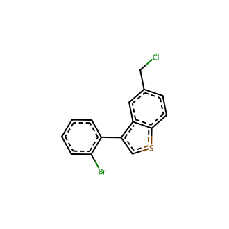 ClCc1ccc2scc(-c3ccccc3Br)c2c1